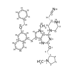 CN1CCC[C@H]1COc1nc(N2CCN[C@@H](CC#N)C2)c2c(n1)c(Cc1cc(OCc3ccccc3)cc3ccccc13)cn2C